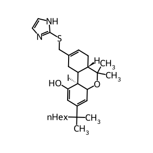 CCCCCCC(C)(C)C1=CC2OC(C)(C)[C@H]3CC=C(CSc4ncc[nH]4)CC3[C@]2(I)C(O)=C1